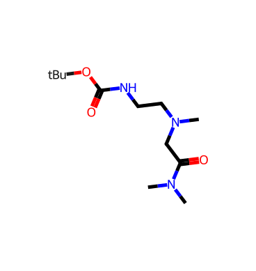 CN(CCNC(=O)OC(C)(C)C)CC(=O)N(C)C